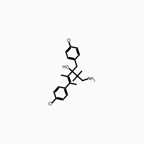 CC(=C(C)C(O)(Cc1ccc(Cl)cc1)C(C)(C)CN)c1ccc(Cl)cc1